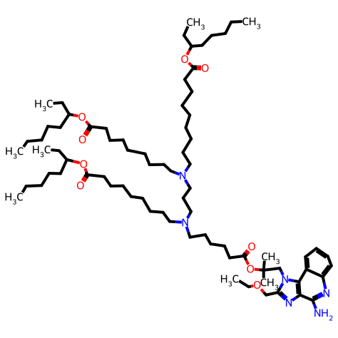 CCCCCC(CC)OC(=O)CCCCCCCCN(CCCCCCCCC(=O)OC(CC)CCCCC)CCCN(CCCCCCCCC(=O)OC(CC)CCCCC)CCCCCC(=O)OC(C)(C)Cn1c(COCC)nc2c(N)nc3ccccc3c21